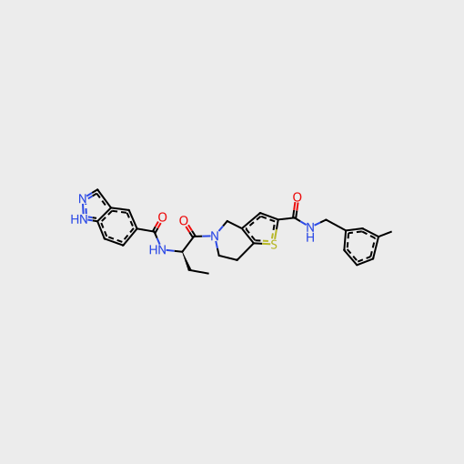 CC[C@@H](NC(=O)c1ccc2[nH]ncc2c1)C(=O)N1CCc2sc(C(=O)NCc3cccc(C)c3)cc2C1